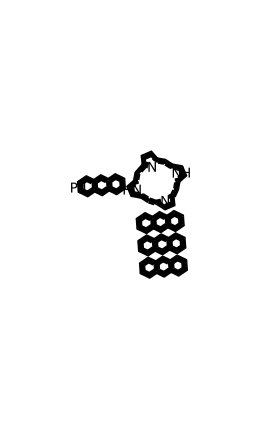 C1=Cc2cc3ccc(cc4nc(cc5ccc(cc1n2)[nH]5)C=C4)[nH]3.[Pd].c1ccc2cc3ccccc3cc2c1.c1ccc2cc3ccccc3cc2c1.c1ccc2cc3ccccc3cc2c1.c1ccc2cc3ccccc3cc2c1